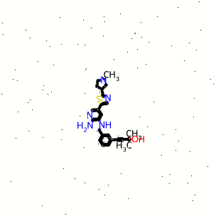 CN1CCC(c2ncc(-c3cnc(N)c(NCc4cccc(C#CC(C)(C)O)c4)c3)s2)C1